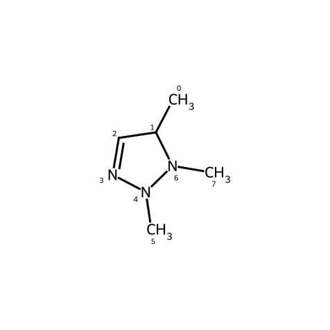 CC1C=NN(C)N1C